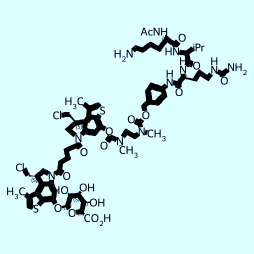 CC(=O)N[C@@H](CCCCN)C(=O)NC(C(=O)N[C@@H](CCCNC(N)=O)C(=O)Nc1ccc(COC(=O)N(C)CCN(C)C(=O)Oc2cc3c(c4c(C)csc24)[C@H](CCl)CN3C(=O)CCCC(=O)N2C[C@@H](CCl)c3c2cc(O[C@@H]2O[C@H](C(=O)O)[C@@H](O)[C@H](O)[C@H]2O)c2scc(C)c32)cc1)C(C)C